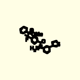 COP(=O)(c1ccccc1)C(C)(F)c1ccc(C(=O)N(N)c2cccc(-c3ccsc3)c2)cc1